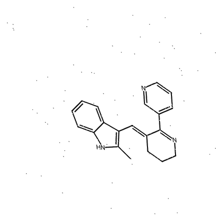 Cc1[nH]c2ccccc2c1C=C1CCCN=C1c1cccnc1